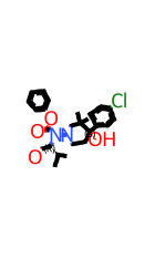 CC(C)[C@H](C=O)N(C(=O)Oc1ccccc1)N1CC[C@](O)(c2ccc(Cl)cc2)C(C)(C)C1